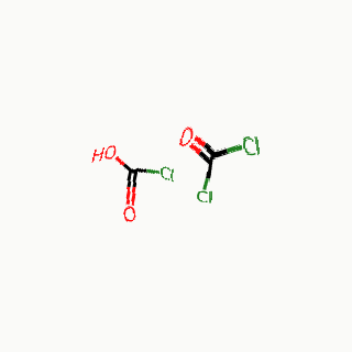 O=C(Cl)Cl.O=C(O)Cl